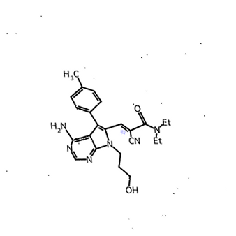 CCN(CC)C(=O)/C(C#N)=C/c1c(-c2ccc(C)cc2)c2c(N)ncnc2n1CCCO